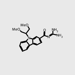 COCC(COC)n1c2ccccc2c2ccc(C(=O)N=C(N)N)cc21